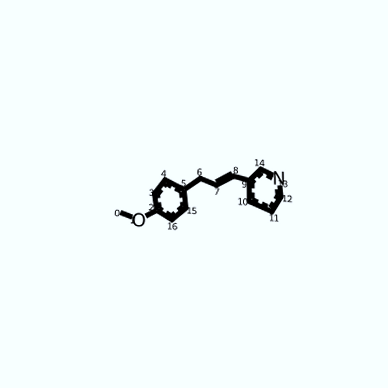 COc1ccc(CC=Cc2cccnc2)cc1